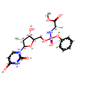 CC(C)OC(=O)[C@H](C)NP(=O)(OCC1OC(n2ccc(=O)[nH]c2=O)[C@H](F)[C@@H]1O)Oc1ccccc1